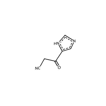 N#CCC(=O)c1cnc[nH]1